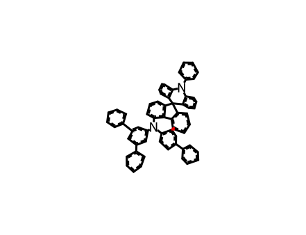 c1ccc(-c2ccc(N(c3cc(-c4ccccc4)cc(-c4ccccc4)c3)c3cccc4c3-c3ccccc3C43c4ccccc4N(c4ccccc4)c4ccccc43)cc2)cc1